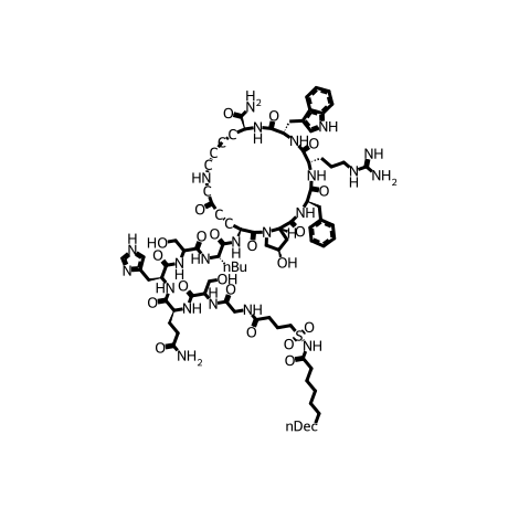 CCCCCCCCCCCCCCCC(=O)NS(=O)(=O)CCCC(=O)NCC(=O)NC(CO)C(=O)N[C@@H](CCC(N)=O)C(=O)N[C@@H](Cc1c[nH]cn1)C(=O)NC(CO)C(=O)N[C@@H](CCCC)C(=O)N[C@H]1CCC(=O)CNCCCC[C@@H](C(N)=O)NC(=O)[C@H](Cc2c[nH]c3ccccc23)NC(=O)[C@H](CCCNC(=N)N)NC(=O)[C@@H](Cc2ccccc2)NC(=O)[C@@H]2C[C@@H](O)CN2C1=O